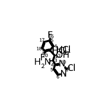 Cl.Cl.N[C@H](c1ccnc(Cl)n1)[C@H](O)c1cc(F)ccc1F